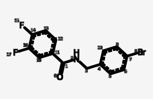 O=C(NCc1ccc(Br)cc1)c1[c]cc(F)c(F)c1